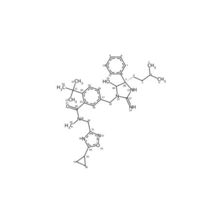 CC(C)CC[C@]1(c2ccccc2)NC(=N)N(Cc2ccc(C(C)(C)C)c(C(=O)N(C)Cc3noc(C4CC4)n3)c2)C1O